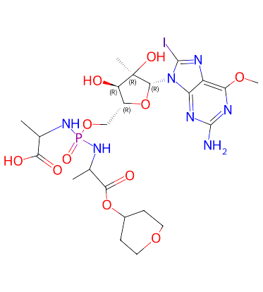 COc1nc(N)nc2c1nc(I)n2[C@@H]1O[C@H](COP(=O)(NC(C)C(=O)O)NC(C)C(=O)OC2CCOCC2)[C@@H](O)[C@@]1(C)O